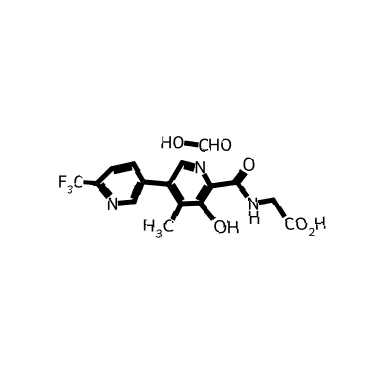 Cc1c(-c2ccc(C(F)(F)F)nc2)cnc(C(=O)NCC(=O)O)c1O.O=CO